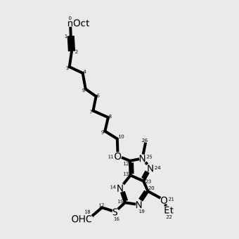 CCCCCCCCC#CCCCCCCCCOc1c2nc(SCC=O)nc(OCC)c2nn1C